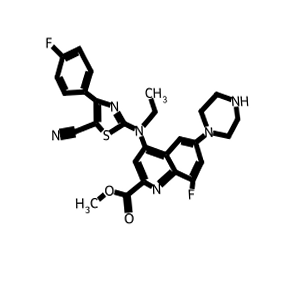 CCN(c1nc(-c2ccc(F)cc2)c(C#N)s1)c1cc(C(=O)OC)nc2c(F)cc(N3CCNCC3)cc12